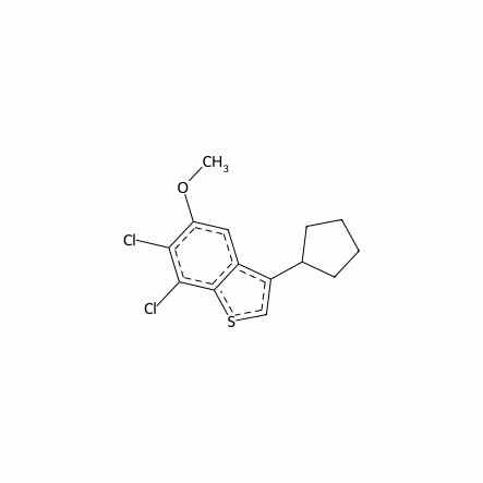 COc1cc2c(C3CCCC3)csc2c(Cl)c1Cl